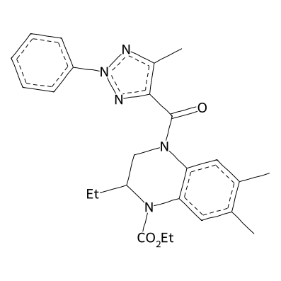 CCOC(=O)N1c2cc(C)c(C)cc2N(C(=O)c2nn(-c3ccccc3)nc2C)CC1CC